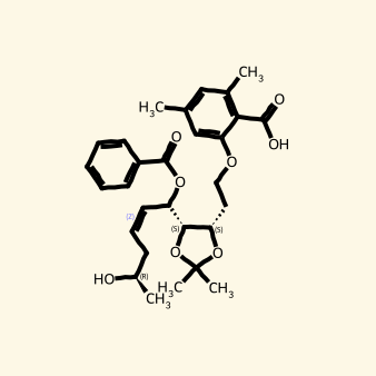 Cc1cc(C)c(C(=O)O)c(OCC[C@@H]2OC(C)(C)O[C@@H]2C(/C=C\C[C@@H](C)O)OC(=O)c2ccccc2)c1